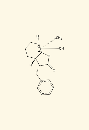 C[C@@]1(O)C[C@H]2CCC[C@H]3[C@@H](Cc4ccccc4)C(=O)O[C@@]23C1